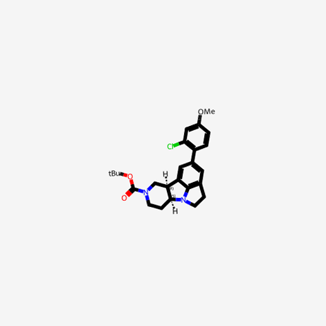 COc1ccc(-c2cc3c4c(c2)[C@@H]2CN(C(=O)OC(C)(C)C)CC[C@@H]2N4CC3)c(Cl)c1